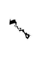 [c]1ccc(CCCOCCOCC2CC2)cc1